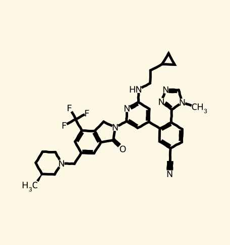 C[C@H]1CCCN(Cc2cc3c(c(C(F)(F)F)c2)CN(c2cc(-c4cc(C#N)ccc4-c4nncn4C)cc(NCCC4CC4)n2)C3=O)C1